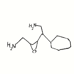 NCC1OC1C(CN)C1CCCCC1